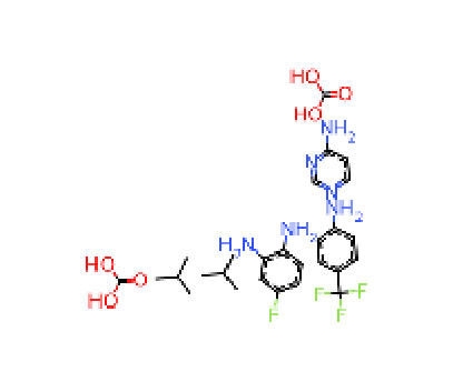 CC(C)C.CC(C)C.Nc1ccc(C(F)(F)F)cc1.Nc1ccc(F)cc1N.Nc1ccncn1.O=C(O)O.O=C(O)O